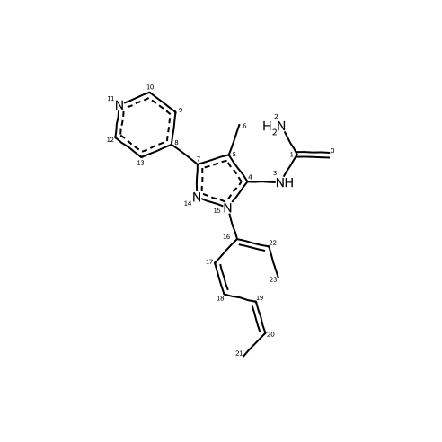 C=C(N)Nc1c(C)c(-c2ccncc2)nn1C(/C=C\C=C/C)=C/C